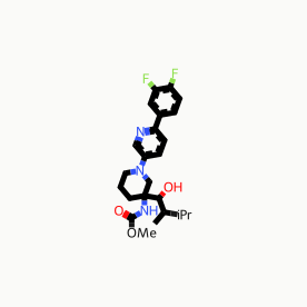 COC(=O)NC1(C(O)C(C)C(C)C)CCCN(c2ccc(-c3ccc(F)c(F)c3)nc2)C1